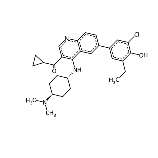 CCc1cc(-c2ccc3ncc(C(=O)C4CC4)c(N[C@H]4CC[C@H](N(C)C)CC4)c3c2)cc(Cl)c1O